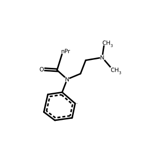 CCCC(=O)N(CCN(C)C)c1[c]cccc1